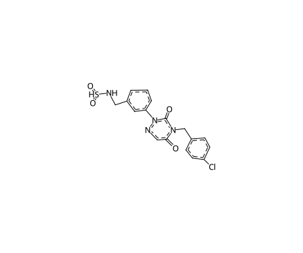 O=c1cnn(-c2cccc(CN[SH](=O)=O)c2)c(=O)n1Cc1ccc(Cl)cc1